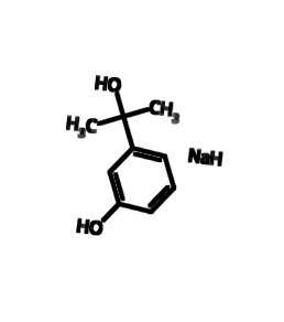 CC(C)(O)c1cccc(O)c1.[NaH]